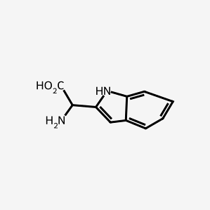 NC(C(=O)O)c1cc2ccccc2[nH]1